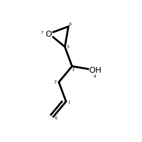 C=CCC(O)C1CO1